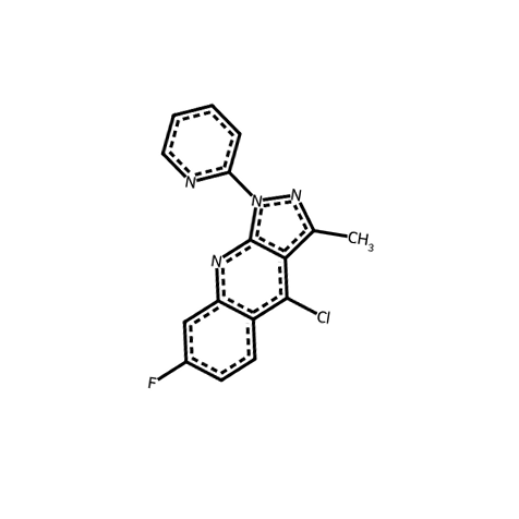 Cc1nn(-c2ccccn2)c2nc3cc(F)ccc3c(Cl)c12